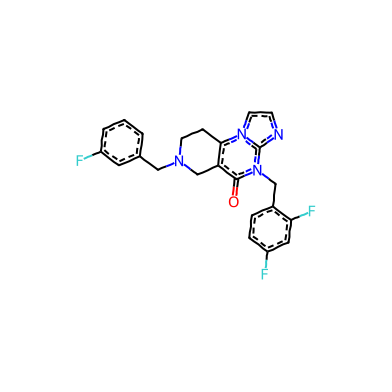 O=c1c2c(n3ccnc3n1Cc1ccc(F)cc1F)CCN(Cc1cccc(F)c1)C2